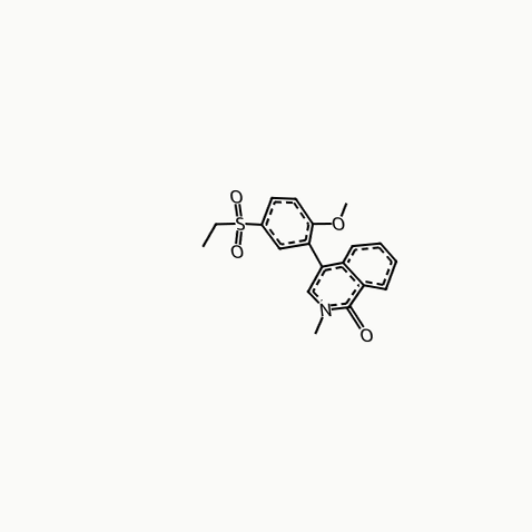 CCS(=O)(=O)c1ccc(OC)c(-c2cn(C)c(=O)c3ccccc23)c1